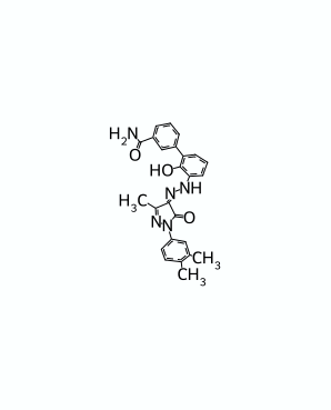 CC1=NN(c2ccc(C)c(C)c2)C(=O)C1=NNc1cccc(-c2cccc(C(N)=O)c2)c1O